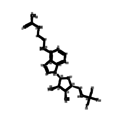 CC(=O)NCCNc1ncnc2c1ncn2[C@@H]1O[C@H](COC(F)(F)F)[C@@H](O)[C@H]1O